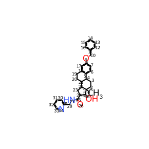 CC12CCC3c4ccc(OCc5ccccc5)cc4CCC3C1CC(C(=O)NCc1ccccn1)C2O